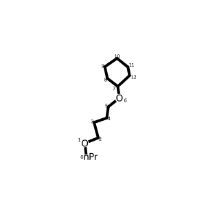 [CH2]CCOCCCCOC1CCCCC1